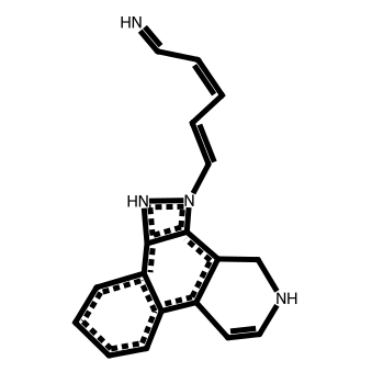 N=C/C=C\C=C\n1[nH]c2c3ccccc3c3c(c21)CNC=C3